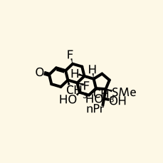 CCCC(O)(O)[C@@]1(SC)CC[C@@H]2[C@H]3C[C@@H](F)C4=CC(=O)CC[C@@]4(C)[C@@]3(F)[C@H](O)C[C@]21C